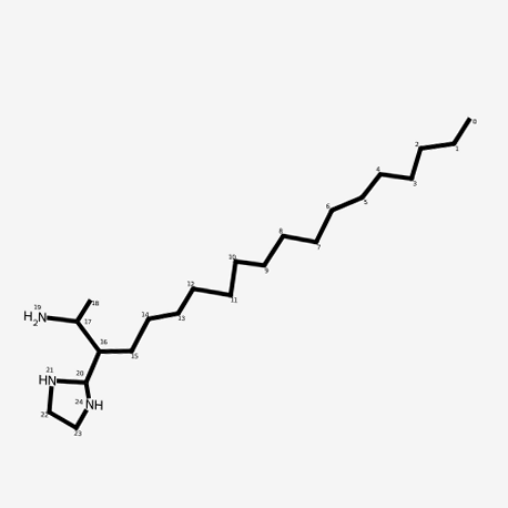 CCCCCCCCCCCCCCCCC(C(C)N)C1NCCN1